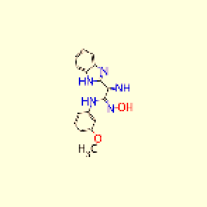 COc1cccc(N/C(=N/O)C(=N)c2nc3ccccc3[nH]2)c1